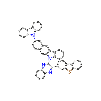 c1ccc2nc(-n3c4ccccc4c4cc5cc(-n6c7ccccc7c7ccccc76)ccc5cc43)c(-c3ccc4c(c3)sc3ccccc34)nc2c1